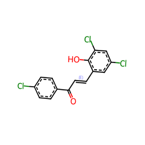 O=C(/C=C/c1cc(Cl)cc(Cl)c1O)c1ccc(Cl)cc1